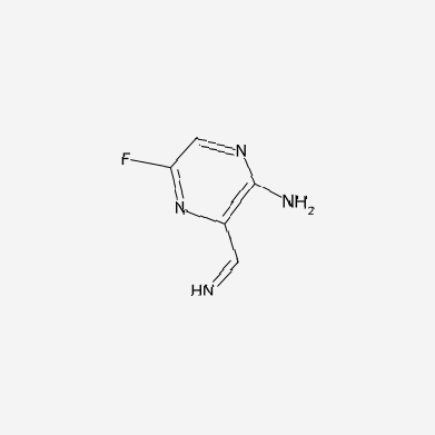 N=Cc1nc(F)cnc1N